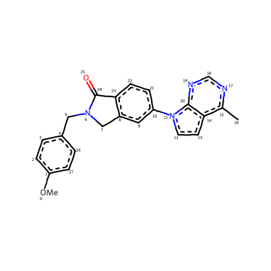 COc1ccc(CN2Cc3cc(-n4ccc5c(C)ncnc54)ccc3C2=O)cc1